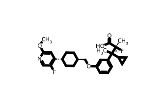 COc1cc([C@H]2CC[C@H](COc3cccc(C(C)(C4CC4)[C@](C)(F)C(=O)O)c3)CC2)c(F)cn1